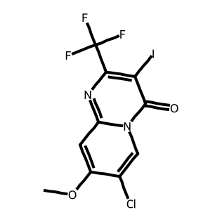 COc1cc2nc(C(F)(F)F)c(I)c(=O)n2cc1Cl